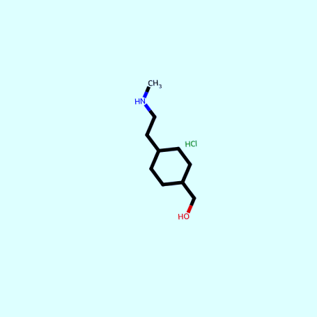 CNCCC1CCC(CO)CC1.Cl